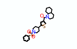 O=C(c1csc(C2CCN(S(=O)(=O)c3ccccc3)CC2)c1)N1CCCC2CCCCC21